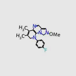 CON1C=C2C=NC3=C(N2C1)N(c1ccc(F)cc1)CC(C)=C3C